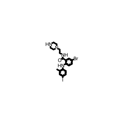 Cc1cc(I)ccc1Nc1ccc(Br)cc1C(=O)NCCN1CCNCC1